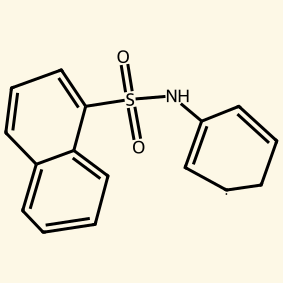 O=S(=O)(NC1=C[CH]CC=C1)c1cccc2ccccc12